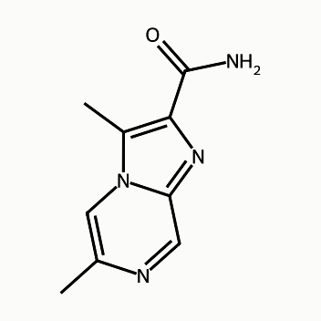 Cc1cn2c(C)c(C(N)=O)nc2cn1